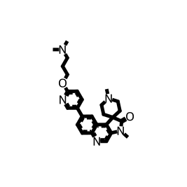 CN(C)CCCOc1ccc(-c2ccc3ncc4c(c3c2)C2(CCN(C)CC2)C(=O)N4C)cn1